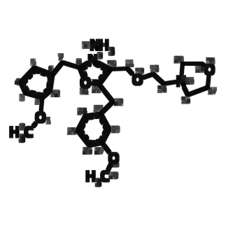 COc1cccc(Cc2nc(COCCN3CCOCC3)c(Cc3cccc(OC)c3)o2)c1.N